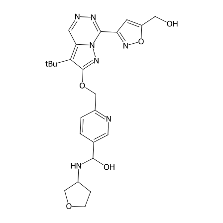 CC(C)(C)c1c(OCc2ccc(C(O)NC3CCOC3)cn2)nn2c(-c3cc(CO)on3)nncc12